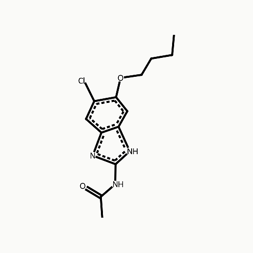 CCCCOc1cc2[nH]c(NC(C)=O)nc2cc1Cl